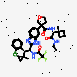 CCNC(=O)[C@H](NC(=O)C1(c2ccc3nc([C@@H](NC(=O)C(F)(F)F)[C@H](c4ccccc4Cl)C4(C)CC4)[nH]c3c2)CCOC1)C1(C)CCC1